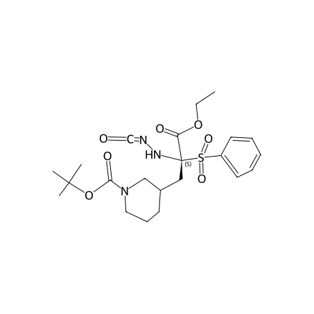 CCOC(=O)[C@@](CC1CCCN(C(=O)OC(C)(C)C)C1)(NN=C=O)S(=O)(=O)c1ccccc1